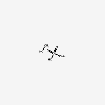 CC#N.COS(=O)(=O)O